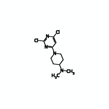 CN(C)C1CCN(c2cc(Cl)nc(Cl)n2)CC1